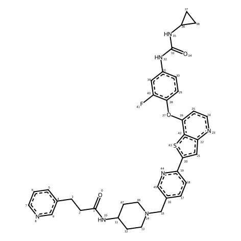 O=C(CCc1cccnc1)NC1CCN(Cc2ccc(-c3cc4nccc(Oc5ccc(NC(=O)NC6CC6)cc5F)c4s3)nc2)CC1